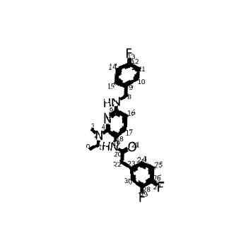 CCN(C)c1nc(NCc2ccc(F)cc2)ccc1NC(=O)Cc1ccc(F)c(F)c1